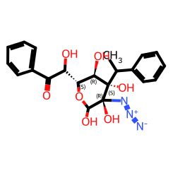 CC(c1ccccc1)[C@]1(O)[C@H](O)[C@@H](C(O)C(=O)c2ccccc2)OC(O)[C@@]1(O)N=[N+]=[N-]